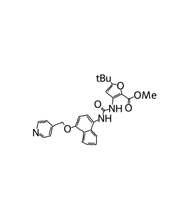 COC(=O)c1oc(C(C)(C)C)cc1NC(=O)Nc1ccc(OCc2ccncc2)c2ccccc12